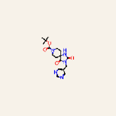 CC(C)(C)OC(=O)N1CCC2(CC1)NC(=O)N(Cc1cncnc1)C2=O